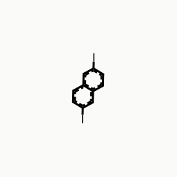 Ic1ccc2cc(I)ccc2c1